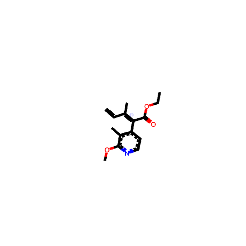 C=C/C(C)=C(/C(=O)OCC)c1ccnc(OC)c1C